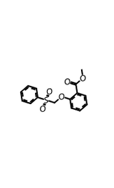 COC(=O)c1ccccc1OCS(=O)(=O)c1ccccc1